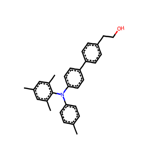 Cc1ccc(N(c2ccc(-c3ccc(CCO)cc3)cc2)c2c(C)cc(C)cc2C)cc1